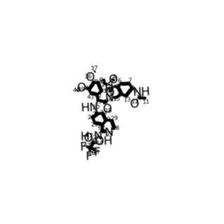 CCS(=O)(=O)c1ccc(NC(C)=O)cc1CNC(=O)[C@@H](Nc1ccc2c(N)nccc2c1)c1ccc(OC)c(OC)c1.O=C(O)C(F)(F)F